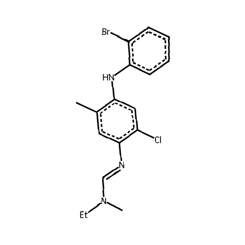 CCN(C)C=Nc1cc(C)c(Nc2ccccc2Br)cc1Cl